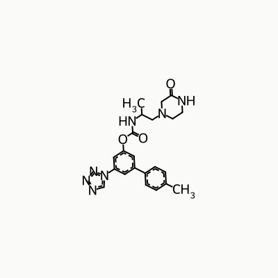 Cc1ccc(-c2cc(OC(=O)NC(C)CN3CCNC(=O)C3)cc(-n3cnnn3)c2)cc1